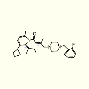 CC/C(C)=C1/C(C2CCC2)=CC=C(C)N1C(=O)/C=C(\C)CN1CCN(Cc2ccccc2F)CC1